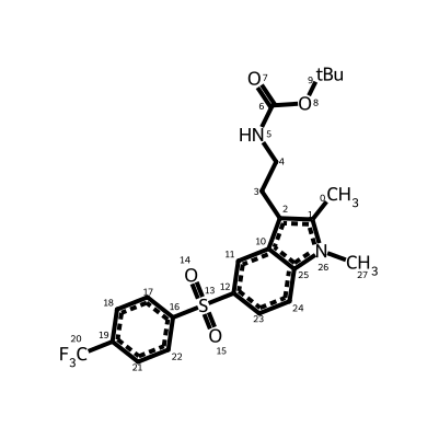 Cc1c(CCNC(=O)OC(C)(C)C)c2cc(S(=O)(=O)c3ccc(C(F)(F)F)cc3)ccc2n1C